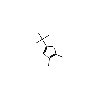 CC1=C(C)[N]C(C(C)(C)C)=C1